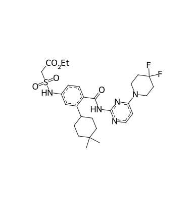 CCOC(=O)CS(=O)(=O)Nc1ccc(C(=O)Nc2nccc(N3CCC(F)(F)CC3)n2)c(C2CCC(C)(C)CC2)c1